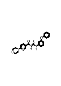 O=C(NC(=S)Nc1cccc(Oc2ccccc2)c1)c1ccc(N2CCOCC2)nc1